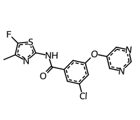 Cc1nc(NC(=O)c2cc(Cl)cc(Oc3cncnc3)c2)sc1F